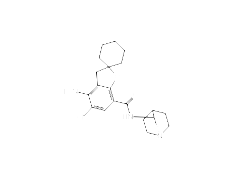 Nc1c(Cl)cc(C(=O)NC2CN3CCC2CC3)c2c1CC1(CCCCC1)O2